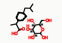 CC(C)Cc1ccc(C(C)C(=O)O)cc1.OC[C@H]1OC(O)[C@H](O)[C@@H](O)[C@@H]1O